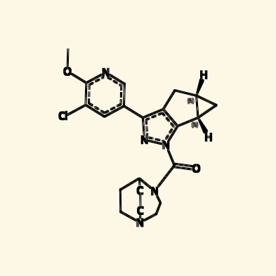 COc1ncc(-c2nn(C(=O)N3CCN4CCC3CC4)c3c2C[C@@H]2C[C@H]32)cc1Cl